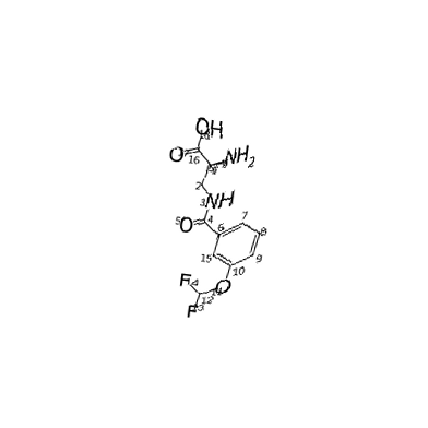 N[C@@H](CNC(=O)c1cccc(OC(F)F)c1)C(=O)O